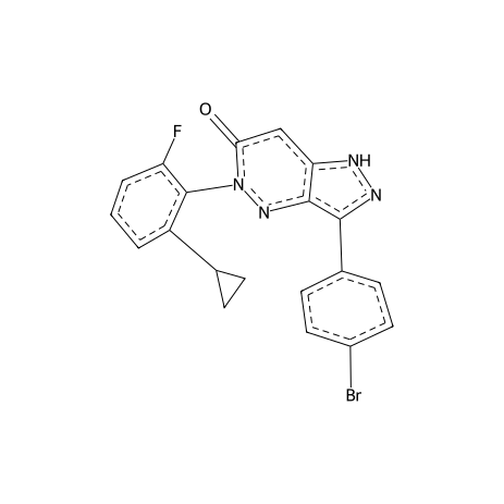 O=c1cc2[nH]nc(-c3ccc(Br)cc3)c2nn1-c1c(F)cccc1C1CC1